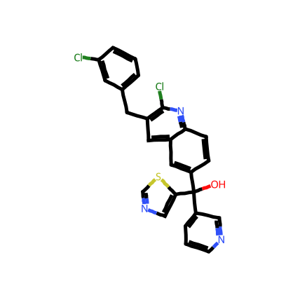 OC(c1cccnc1)(c1ccc2nc(Cl)c(Cc3cccc(Cl)c3)cc2c1)c1cncs1